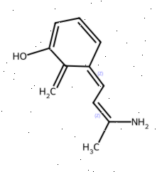 C=c1c(O)ccc/c1=C/C=C(/C)N